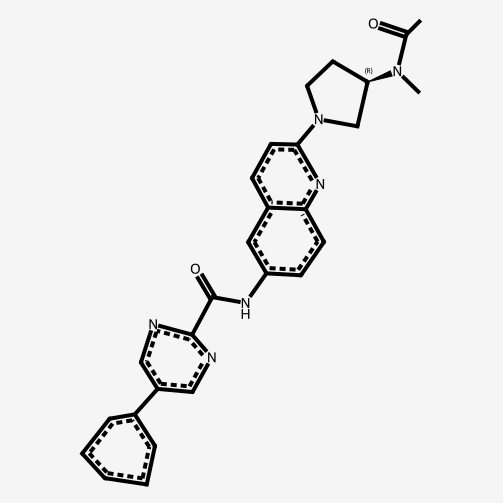 CC(=O)N(C)[C@@H]1CCN(c2ccc3cc(NC(=O)c4ncc(-c5ccccc5)cn4)ccc3n2)C1